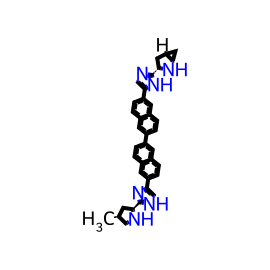 C[C@H]1CN[C@H](c2nc(-c3ccc4cc(-c5ccc6cc(-c7cnc([C@@H]8C[C@H]9CC9N8)[nH]7)ccc6c5)ccc4c3)c[nH]2)C1